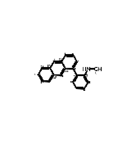 ONc1ccccc1-c1cccc2cc3ccccc3cc12